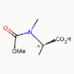 COC(=O)N(C)[C@H](C)C(=O)O